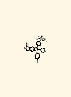 CP(C)(=O)c1ccc(-c2c(C3CCOCC3)n(-c3ccc(F)cc3)c3cc4cn[nH]c4cc23)cc1